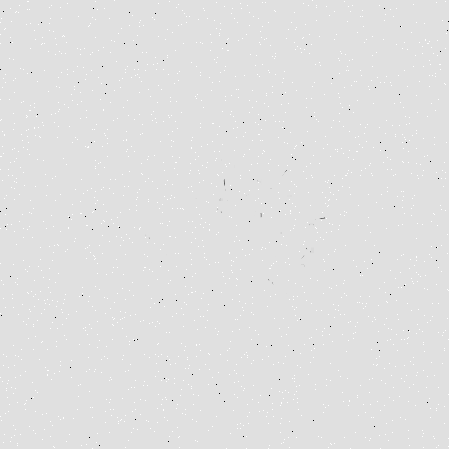 Cc1csc(COC(=O)N[C@@H](CS(C)(=O)=O)C(=O)N[C@@H](CC(C)C)[C@@H](O)C[C@@H](C)C(=O)N[C@H]2CCNC2=O)n1